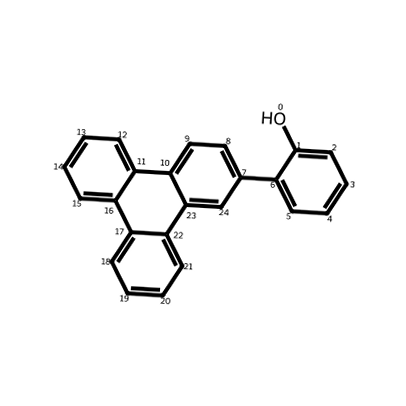 Oc1ccccc1-c1ccc2c3ccccc3c3ccccc3c2c1